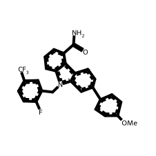 COc1ccc(-c2c[c]c3c4c(C(N)=O)cccc4n(Cc4cc(C(F)(F)F)ccc4F)c3c2)cc1